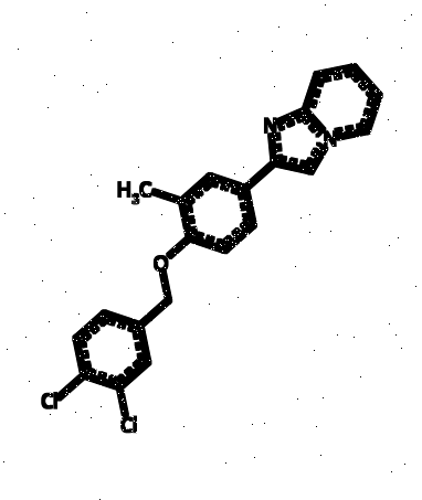 Cc1cc(-c2cn3ccccc3n2)ccc1OCc1ccc(Cl)c(Cl)c1